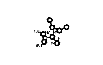 CC(C)(C)c1ccc2c(c1)c1cc(C(C)(C)C)ccc1n2-c1cc(-c2c(F)cccc2F)cc(-n2c3ccc(-c4ccccc4)cc3c3cc(-c4ccccc4)ccc32)c1C#N